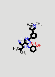 C=C/C(=C\N(C)C)c1cccc(-c2ncc(C(/C=N\C)=C/C(=C)C)c(N[C@H]3CCC[C@@H](O)[C@H]3O)n2)c1